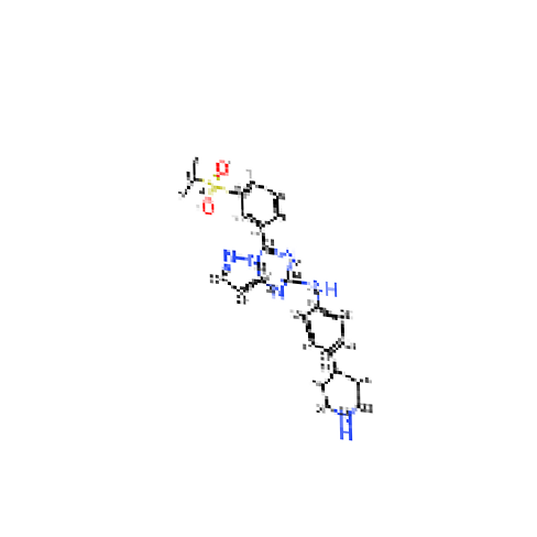 CC(C)S(=O)(=O)c1cccc(-c2nc(Nc3ccc(C4CCNCC4)cc3)nc3ccnn23)c1